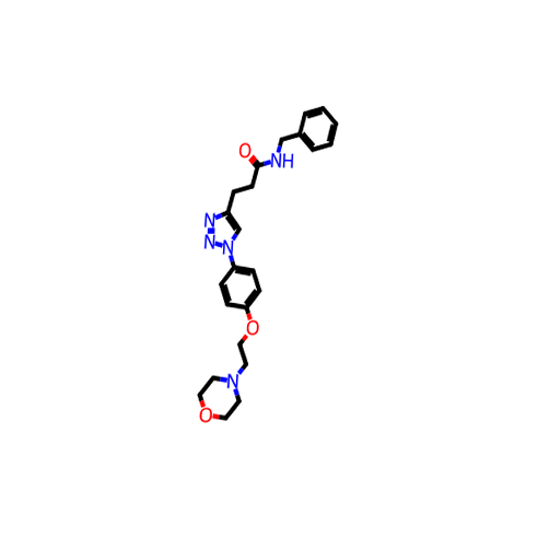 O=C(CCc1cn(-c2ccc(OCCN3CCOCC3)cc2)nn1)NCc1ccccc1